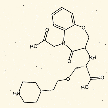 O=C(O)CN1C(=O)C(N[C@@H](COCCC2CCNCC2)C(=O)O)COc2ccccc21